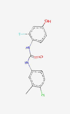 Cc1cc(NC(=O)Nc2ccc(O)cc2F)ccc1Cl